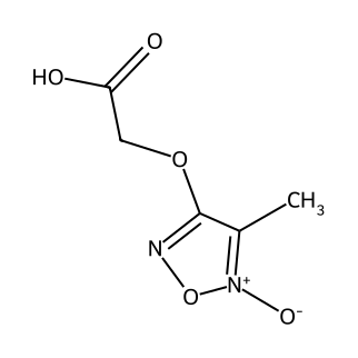 Cc1c(OCC(=O)O)no[n+]1[O-]